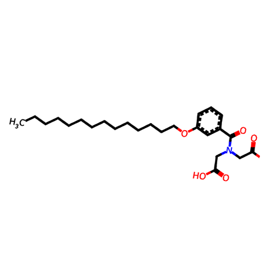 CCCCCCCCCCCCCCOc1cccc(C(=O)N(CC(=O)O)CC(=O)O)c1